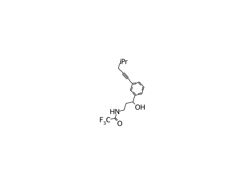 CC(C)CC#Cc1cccc(C(O)CCNC(=O)C(F)(F)F)c1